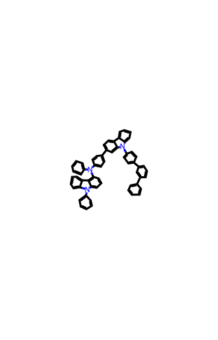 c1ccc(-c2cccc(-c3ccc(-n4c5ccccc5c5ccc(-c6ccc(N(c7ccccc7)c7cccc8c7c7ccccc7n8-c7ccccc7)cc6)cc54)cc3)c2)cc1